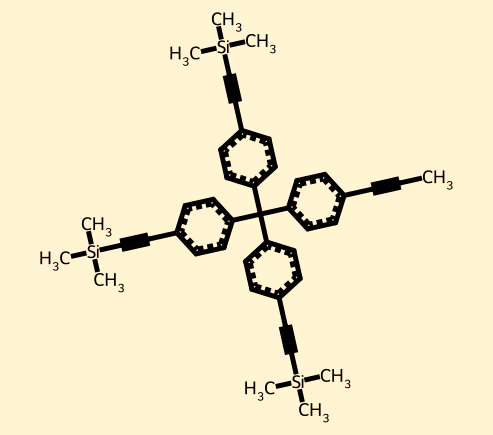 CC#Cc1ccc(C(c2ccc(C#C[Si](C)(C)C)cc2)(c2ccc(C#C[Si](C)(C)C)cc2)c2ccc(C#C[Si](C)(C)C)cc2)cc1